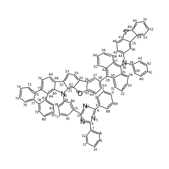 c1ccc(-c2nc(-c3ccccc3)nc(-c3cccc(-n4c5c(ccc6c7cc(-c8c9ccccc9c(N(c9ccccc9)c9ccc%10sc%11ccccc%11c%10c9)c9ccccc89)ccc7oc65)c5ccc6c7ccccc7c7ccccc7c6c54)c3)n2)cc1